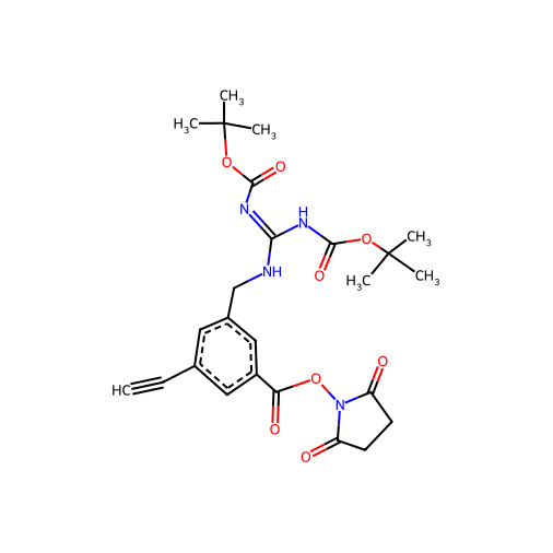 C#Cc1cc(CNC(=NC(=O)OC(C)(C)C)NC(=O)OC(C)(C)C)cc(C(=O)ON2C(=O)CCC2=O)c1